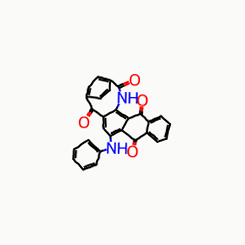 O=c1[nH]c2c(cc(Nc3ccccc3)c3c(=O)c4ccccc4c(=O)c32)c(=O)c2ccc1cc2